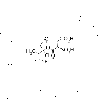 CC(C)CC(C)C(C)(CC(C)C)OC(=O)C(CC(=O)O)S(=O)(=O)O